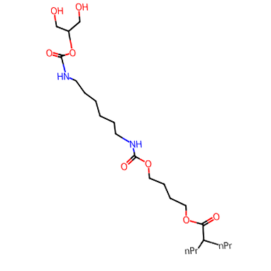 CCCC(CCC)C(=O)OCCCCOC(=O)NCCCCCCNC(=O)OC(CO)CO